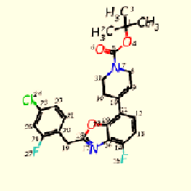 CC(C)(C)OC(=O)N1CC=C(c2ccc(F)c3nc(Cc4ccc(Cl)cc4F)oc23)CC1